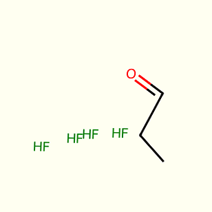 CCC=O.F.F.F.F